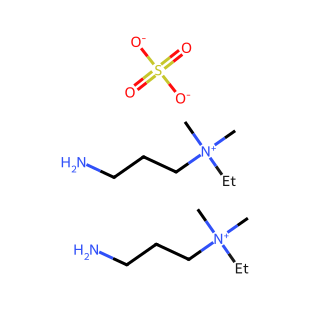 CC[N+](C)(C)CCCN.CC[N+](C)(C)CCCN.O=S(=O)([O-])[O-]